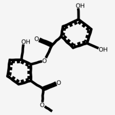 COC(=O)c1cccc(O)c1OC(=O)c1cc(O)cc(O)c1